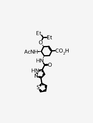 CCC(CC)O[C@@H]1C=C(C(=O)O)C[C@H](NC(=O)c2cc(-c3cccs3)n[nH]2)[C@H]1NC(C)=O